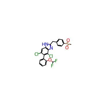 CS(=O)(=O)c1ccc(Cc2nc3c(Cl)c(-c4ccccc4OC(F)F)c(Cl)cc3[nH]2)cc1